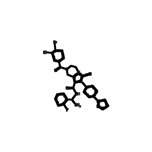 CC(NC(=O)c1c2n(c(=O)n1-c1ccc(-n3cccn3)cc1)CCN(C(=O)c1ccc(Br)c(Cl)c1)C2)c1ccccc1F